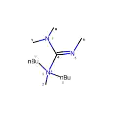 CCCC[N+](C)(CCCC)C(=NC)N(C)C